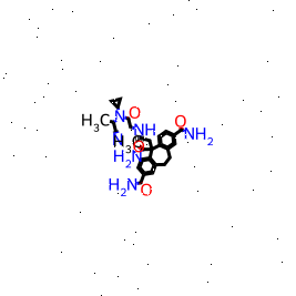 CC(C#N)N(C(=O)CN[C@H](C)CC1(C(N)=O)c2ccc(C(N)=O)cc2CCc2cc(C(N)=O)ccc21)C1CC1